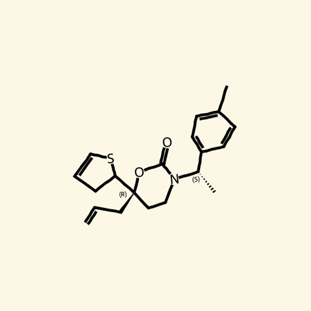 C=CC[C@]1(C2CC=CS2)CCN([C@@H](C)c2ccc(C)cc2)C(=O)O1